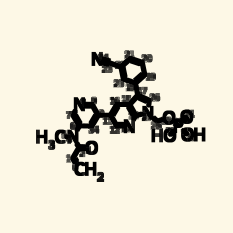 C=CC(=O)N(C)c1cncc(-c2cnc3c(c2)c(-c2cccc(C#N)c2)cn3COP(=O)(O)O)c1